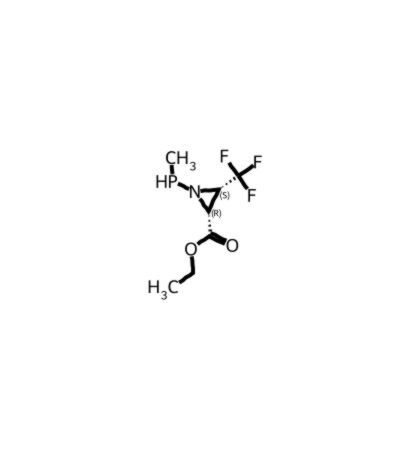 CCOC(=O)[C@H]1[C@@H](C(F)(F)F)N1PC